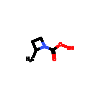 CC1CCN1C(=O)OO